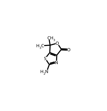 CC1(C)OC(=O)c2nc(N)sc21